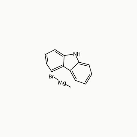 [CH3][Mg][Br].c1ccc2c(c1)[nH]c1ccccc12